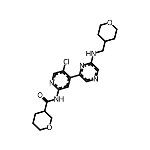 O=C(Nc1cc(-c2cncc(NCC3CCOCC3)n2)c(Cl)cn1)C1CCCOC1